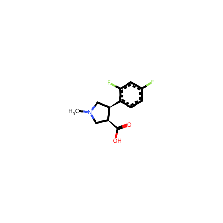 CN1C[C@H](C(=O)O)[C@H](c2ccc(F)cc2F)C1